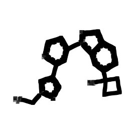 N#CC1(c2ccc3cnn(-c4ccnc(-c5cnn(CC(F)(F)F)c5)c4)c3c2)CCC1